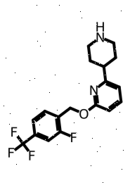 Fc1cc(C(F)(F)F)ccc1COc1cccc(C2CCNCC2)n1